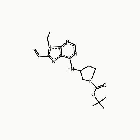 C=Cc1nc2c(N[C@H]3CCN(C(=O)OC(C)(C)C)C3)ncnc2n1CC